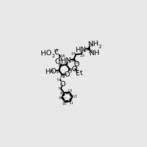 CCO[C@@H]1O[C@H](COCc2ccccc2)[C@@H](O)[C@H](OCC(=O)O)C1NC(=O)CCNC(=N)N